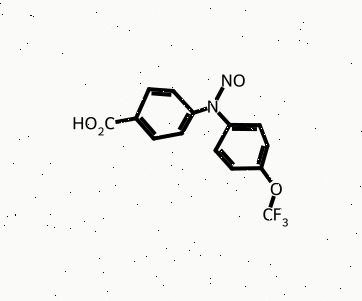 O=NN(c1ccc(OC(F)(F)F)cc1)c1ccc(C(=O)O)cc1